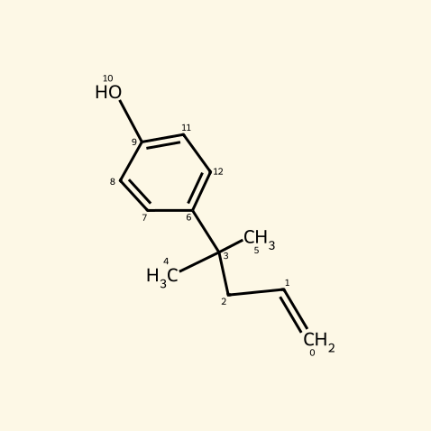 C=CCC(C)(C)c1ccc(O)cc1